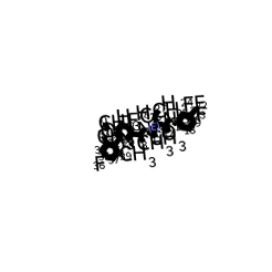 COc1cc(F)c(C(C)N/C(C)=C(/C(=O)Nc2cccc(C(F)(F)F)c2)C(C)C)nc1-c1c(C)cc(F)cc1C